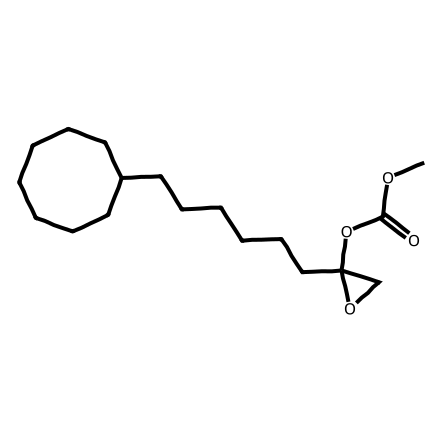 COC(=O)OC1(CCCCCCC2CCCCCCC2)CO1